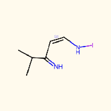 CC(C)C(=N)/C=C\NI